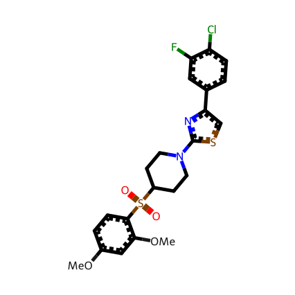 COc1ccc(S(=O)(=O)C2CCN(c3nc(-c4ccc(Cl)c(F)c4)cs3)CC2)c(OC)c1